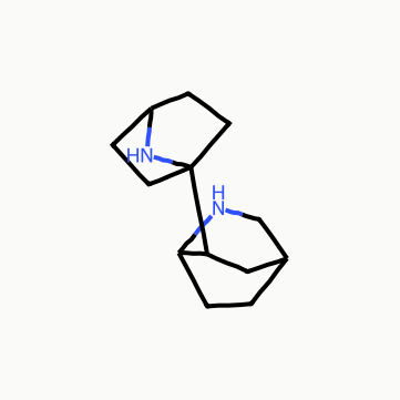 C1CC2NCC1CC2C12CCC(CC1)N2